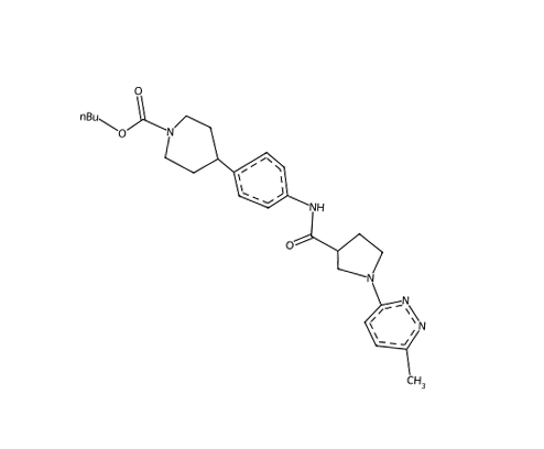 CCCCOC(=O)N1CCC(c2ccc(NC(=O)C3CCN(c4ccc(C)nn4)C3)cc2)CC1